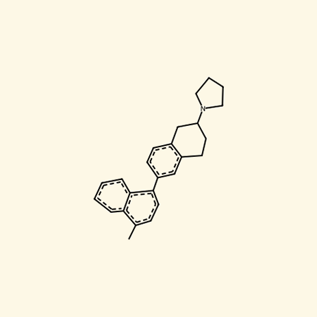 Cc1ccc(-c2ccc3c(c2)CCC(N2CCCC2)C3)c2ccccc12